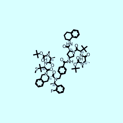 CSC(C)(C)[C@H](NC(=O)[C@H](C)N(C)C(=O)OC(C)(C)C)C(=O)N1Cc2ccccc2C[C@H]1C(=O)N(Cc1ccc(C(=O)N[C@H]2C[C@@H](C(=O)N[C@@H]3CCCc4ccccc43)N(C(=O)[C@@H](NC(=O)[C@H](C)N(C)C(=O)OC(C)(C)C)C(C)(C)C)C2)cc1)[C@H](C)c1ccccc1F